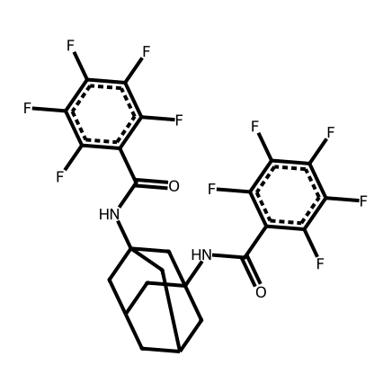 O=C(NC12CC3CC(C1)CC(NC(=O)c1c(F)c(F)c(F)c(F)c1F)(C3)C2)c1c(F)c(F)c(F)c(F)c1F